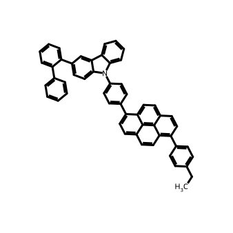 CCc1ccc(-c2ccc3ccc4c(-c5ccc(-n6c7ccccc7c7cc(-c8ccccc8-c8ccccc8)ccc76)cc5)ccc5ccc2c3c54)cc1